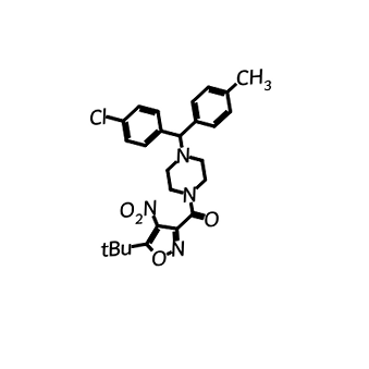 Cc1ccc(C(c2ccc(Cl)cc2)N2CCN(C(=O)c3noc(C(C)(C)C)c3[N+](=O)[O-])CC2)cc1